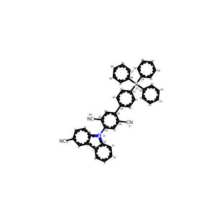 N#Cc1ccc2c(c1)c1ccccc1n2-c1cc(C#N)c(-c2ccc([Si](c3ccccc3)(c3ccccc3)c3ccccc3)cc2)cc1C#N